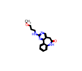 COCCCNc1ncc2c(n1)-c1ccccc1NC(=O)C2